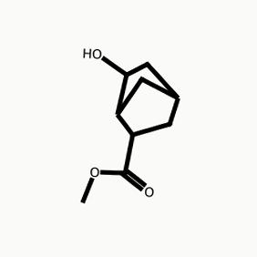 COC(=O)C1CC2CC(O)C1C2